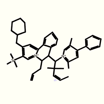 C=CCC1C(C([n+]2cc(C)c(-c3ccccc3)cc2C)C(C)(C)/C=C\C)c2ccccc2-c2cc(CC3CCCCC3)c([Si](C)(C)C)c[n+]21